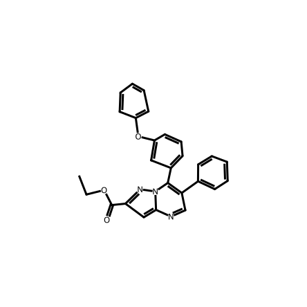 CCOC(=O)c1cc2ncc(-c3ccccc3)c(-c3cccc(Oc4ccccc4)c3)n2n1